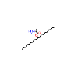 CCCCCCCCCC(CCCCCCCCC)OC(=O)[C@H](C)N